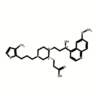 COc1ccc2nccc([C@H](O)CC[C@@H]3CCN(CCCc4sccc4C)C[C@H]3CCC(=O)O)c2c1